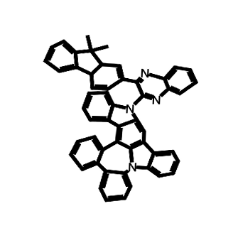 CC1(C)c2ccccc2C2C=CC(c3nc4ccccc4nc3-n3c4ccccc4c4c5c6c(cc43)c3ccccc3n6-c3ccccc3-c3ccccc3-5)=CC21